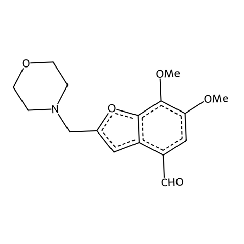 COc1cc(C=O)c2cc(CN3CCOCC3)oc2c1OC